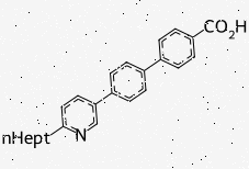 CCCCCCCc1ccc(-c2ccc(-c3ccc(C(=O)O)cc3)cc2)cn1